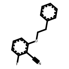 N#Cc1c(F)cccc1OCCc1ccccc1